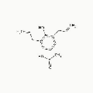 C=CCc1cccc(CC=C)c1O.CC(=O)O